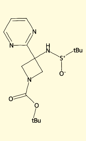 CC(C)(C)OC(=O)N1CC(N[S+]([O-])C(C)(C)C)(c2ncccn2)C1